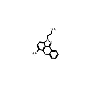 NCCn1nc2c3c(c(N)ccc31)Sc1ccccc1-2